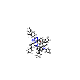 CC1(C)c2ccccc2-c2ccc(C3=NC(c4ccc(-c5ccccc5)cc4)=NC(c4ccc(-c5ccccc5)cc4-n4c5ccccc5c5c(-c6cccc7c6c6ccc(-c8ccccc8)cc6n7-c6ccccc6)cccc54)N3)cc21